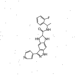 CC(NC(=O)C1Nc2cc3[nH]nc(-c4ccncc4)c3cc2N1)c1ccccc1F